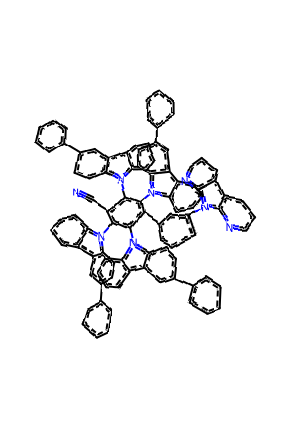 N#Cc1c(-n2c3ccccc3c3cc(-c4ccccc4)ccc32)c(-n2c3ccccc3c3cc(-c4ccccc4)ccc32)c(-c2cccc(-n3c4ncccc4c4cccnc43)c2)c(-n2c3ccccc3c3cc(-c4ccccc4)ccc32)c1-n1c2ccccc2c2cc(-c3ccccc3)ccc21